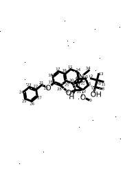 CO[C@]12CC3(C[C@@H]1C(C)(O)C(C)(C)C)C1Cc4ccc(OCc5ccccc5)c5c4C3(CCN1C)[C@H]2O5